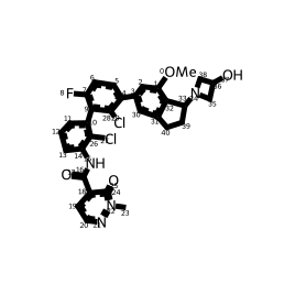 COc1cc(-c2ccc(F)c(-c3cccc(NC(=O)c4ccnn(C)c4=O)c3Cl)c2Cl)cc2c1C(N1CC(O)C1)CC2